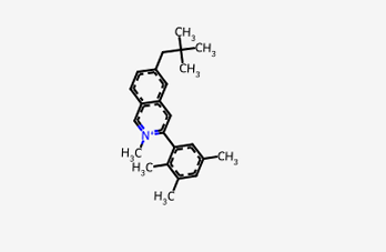 Cc1cc(C)c(C)c(-c2cc3cc(CC(C)(C)C)ccc3c[n+]2C)c1